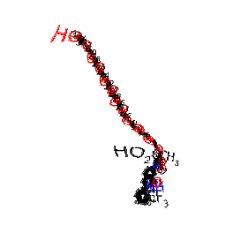 C[C@@](OCCOCCOCCOCCOCCOCCOCCOCCOCCOCCOCCO)(C(=O)O)C1CN(c2ccc3cc(-c4ccccc4C(F)(F)F)[nH]c(=O)c3c2)C(=O)O1